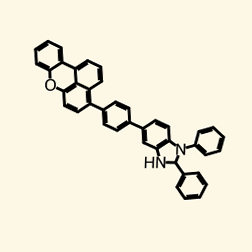 c1ccc(C2Nc3cc(-c4ccc(-c5ccc6c7c(cccc57)-c5ccccc5O6)cc4)ccc3N2c2ccccc2)cc1